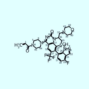 C=CC(=O)N1CCN(c2nc(=O)n3c4c(c(-c5ccc(F)c6cnn(C)c56)c(C(F)(F)F)cc24)SCC3CN2CCOCC2)CC1